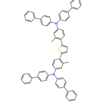 Cc1cc(N(c2ccc(-c3ccccc3)cc2)c2ccc(-c3ccccc3)cc2)ccc1-c1ccc(-c2ccc(N(c3ccc(-c4ccccc4)cc3)c3ccc(-c4ccccc4)cc3)cc2C)s1